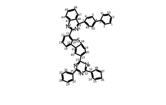 c1ccc(-c2ccc(-c3nc(-c4cccc5c4sc4ccc(-c6nc(-c7ccccc7)nc(-c7ccccc7)n6)cc45)nc4ccccc34)cc2)cc1